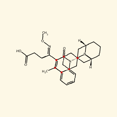 CO/N=C(\CCC(=O)O)c1nc2ccccc2n([C@H]2C[C@H]3CCC[C@@H](C2)N3C2CC3CC(C)CC(C3)C2)c1=O